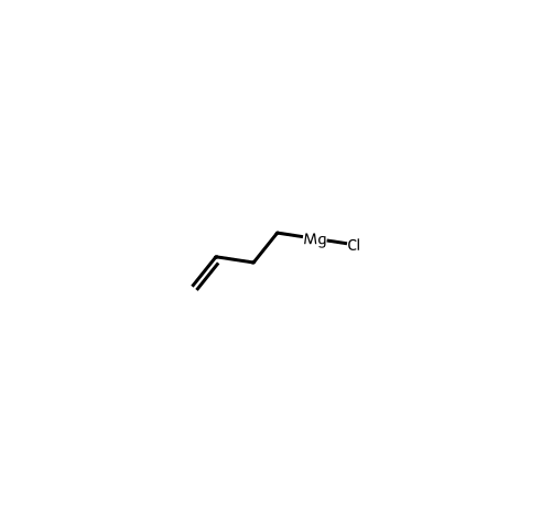 C=CC[CH2][Mg][Cl]